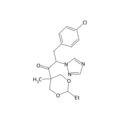 CCC1OCC(C)(C(=O)C(Cc2ccc(Cl)cc2)n2cncn2)CO1